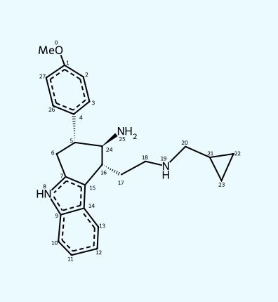 COc1ccc([C@H]2Cc3[nH]c4ccccc4c3[C@@H](CCNCC3CC3)[C@@H]2N)cc1